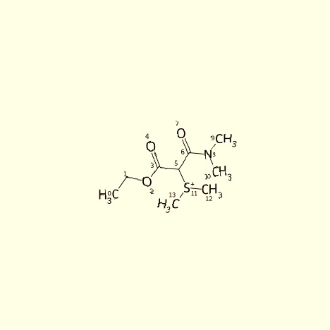 CCOC(=O)C(C(=O)N(C)C)[S+](C)C